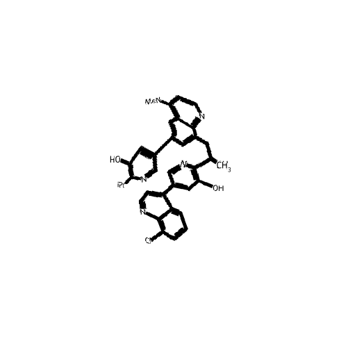 CNc1ccnc2c(CC(C)c3ncc(-c4ccnc5c(Cl)cccc45)cc3O)cc(-c3cnc(C(C)C)c(O)c3)cc12